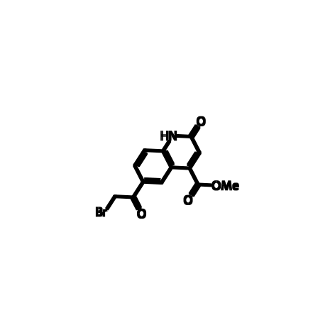 COC(=O)c1cc(=O)[nH]c2ccc(C(=O)CBr)cc12